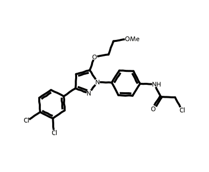 COCCOc1cc(-c2ccc(Cl)c(Cl)c2)nn1-c1ccc(NC(=O)CCl)cc1